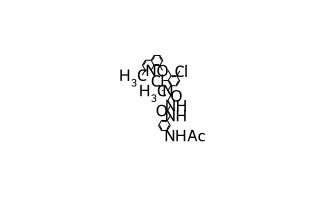 CC(=O)Nc1cccc(NC(=O)NCC(=O)N(C)c2ccc(Cl)c(COc3cccc4ccc(C)nc34)c2Cl)c1